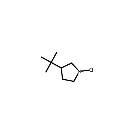 CC(C)(C)C1CCN(Cl)C1